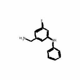 NCc1cc(F)cc(Nc2ccccc2)c1